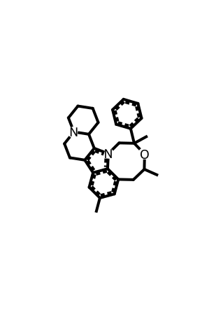 Cc1cc2c3c(c1)c1c(n3CC(C)(c3ccccc3)OC(C)C2)C2CCCCN2CC1